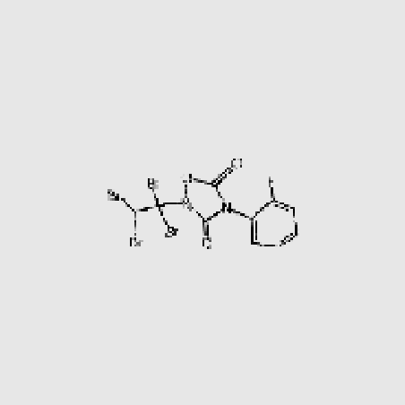 O=c1on(C(Br)(Br)C(Br)Br)c(=O)n1-c1ccccc1F